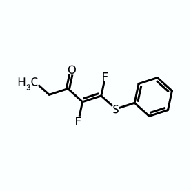 CCC(=O)C(F)=C(F)Sc1ccccc1